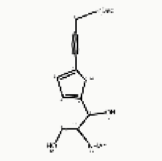 CCCCCCCCCCCC#Cc1ccc(C(O)C(CO)NC(C)=O)s1